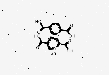 O=C(O)c1ccc(C(=O)O)nc1.O=C(O)c1ccc(C(=O)O)nc1.[Zn]